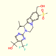 CC(C)[C@H]1c2cc3cc(CO)c(S(C)(=O)=O)cc3n2CCN1c1ncc(C(C)(C)O)c(C(F)(F)F)n1